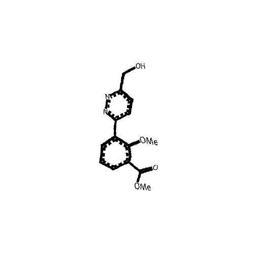 COC(=O)c1cccc(-c2ccc(CO)nn2)c1OC